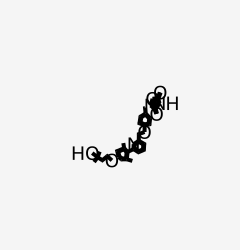 Cc1cc(OCCC(C)(C)O)cc(C)c1-c1cccc(COc2ccc(Cn3oc(=O)[nH]c3=O)cc2)n1